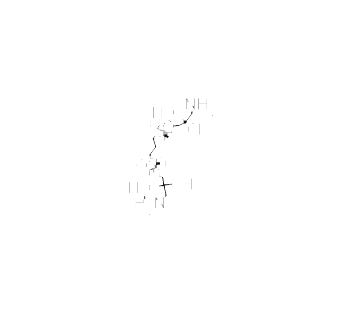 CC(C)(CN)COS(=O)(=O)CCCS(=O)(=O)OCC(C)(C)CN